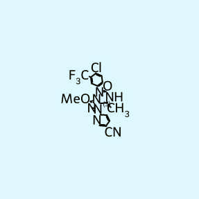 COc1nc([C@H](C)Nc2nc3cc(C(F)(F)F)c(Cl)cc3o2)n(-c2ccc(C#N)cn2)n1